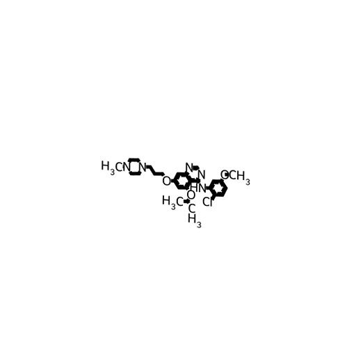 COc1ccc(Cl)c(Nc2ncnc3cc(OCCCN4CCN(C)CC4)cc(OC(C)C)c23)c1